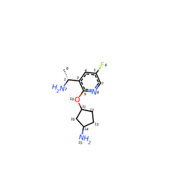 C[C@@H](N)c1cc(F)cnc1OC1CCC(N)C1